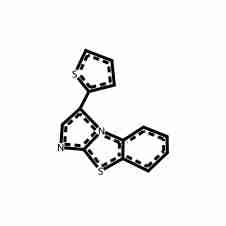 c1csc(-c2cnc3sc4ccccc4n23)c1